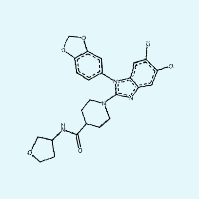 O=C(NC1CCOC1)C1CCN(c2nc3cc(Cl)c(Cl)cc3n2-c2ccc3c(c2)OCO3)CC1